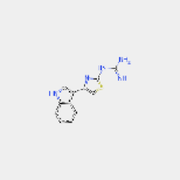 N=C(N)Nc1nc(-c2c[nH]c3ccccc23)cs1